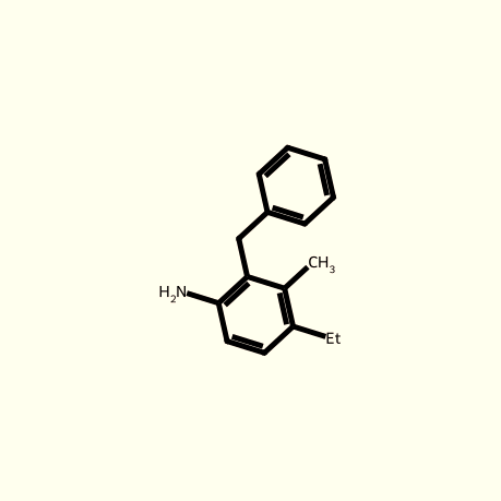 CCc1ccc(N)c(Cc2ccccc2)c1C